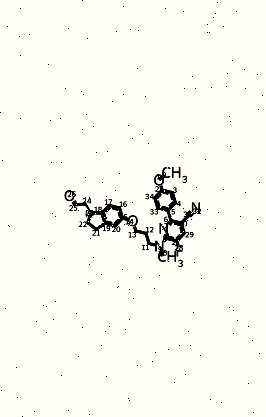 COc1ccc(-c2nc(N(C)CCCOc3ccc4c(c3)CC[C@H]4CC=O)c(F)cc2C#N)cc1